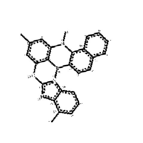 Cc1cc2c3c(c1)N(C)c1c(ccc4ccccc14)B3n1c(nc3c(C)cccc31)O2